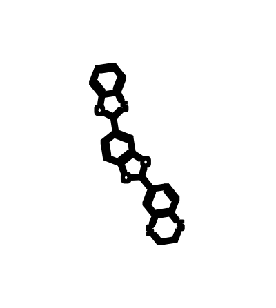 c1ccc2c(c1)OC(c1ccc3c(c1)OC(c1ccc4c(c1)SCCS4)O3)S2